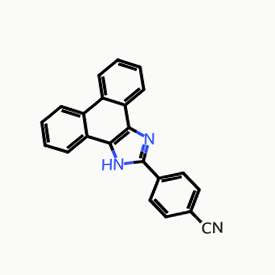 N#Cc1ccc(-c2nc3c4ccccc4c4ccccc4c3[nH]2)cc1